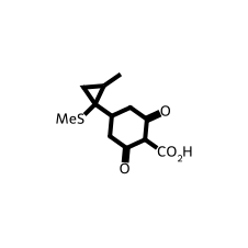 CSC1(C2CC(=O)C(C(=O)O)C(=O)C2)CC1C